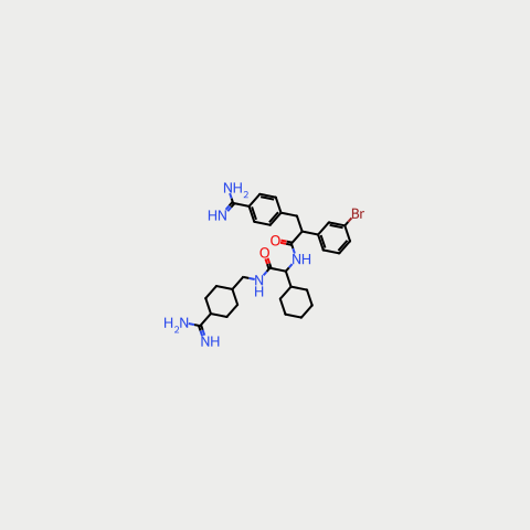 N=C(N)c1ccc(CC(C(=O)NC(C(=O)NCC2CCC(C(=N)N)CC2)C2CCCCC2)c2cccc(Br)c2)cc1